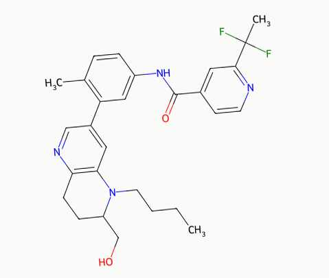 CCCCN1c2cc(-c3cc(NC(=O)c4ccnc(C(C)(F)F)c4)ccc3C)cnc2CCC1CO